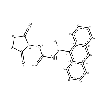 C[C@@H](NC(=O)ON1C(=O)CCC1=O)c1c2ccccc2cc2ccccc12